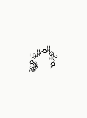 CC(C)(C)OC(=O)N(c1cccc(OC[C@H](O)CNCCc2ccc(NC3CCN(C(=O)NCc4ccc(F)cc4)CC3)cc2)c1)S(C)(=O)=O